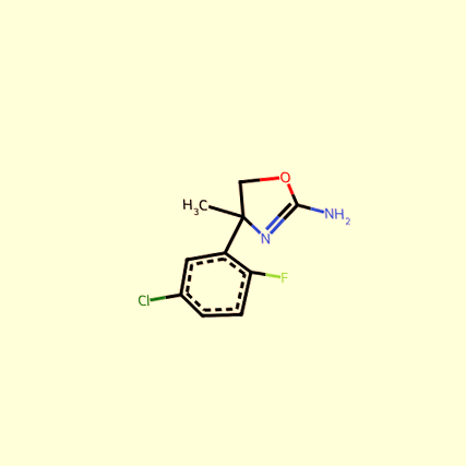 CC1(c2cc(Cl)ccc2F)COC(N)=N1